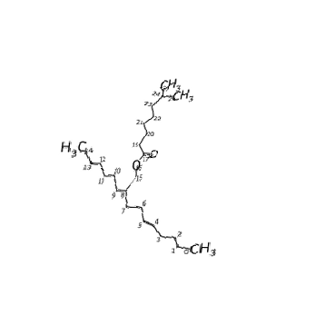 CCCCCCCCC(CCCCCC)COC(=O)CCCCCC(C)C